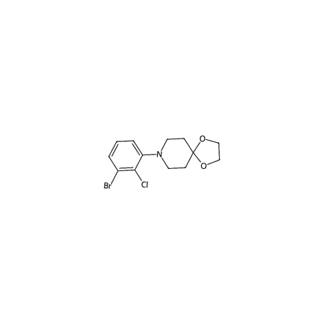 Clc1c(Br)cccc1N1CCC2(CC1)OCCO2